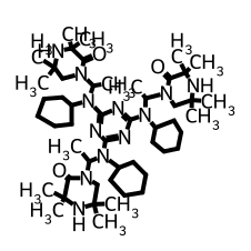 CC(N1CC(C)(C)NC(C)(C)C1=O)N(c1nc(N(C2CCCCC2)C(C)N2CC(C)(C)NC(C)(C)C2=O)nc(N(C2CCCCC2)C(C)N2CC(C)(C)NC(C)(C)C2=O)n1)C1CCCCC1